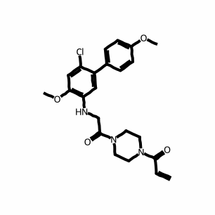 C=CC(=O)N1CCN(C(=O)CNc2cc(-c3ccc(OC)cc3)c(Cl)cc2OC)CC1